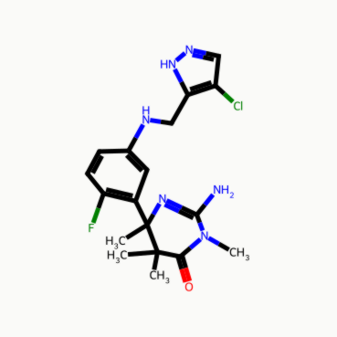 CN1C(=O)C(C)(C)C(C)(c2cc(NCc3[nH]ncc3Cl)ccc2F)N=C1N